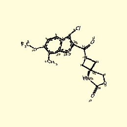 Cc1c(OC(F)(F)F)ccc2c(Cl)c(C(=O)N3CC4(COC(=O)N4)C3)sc12